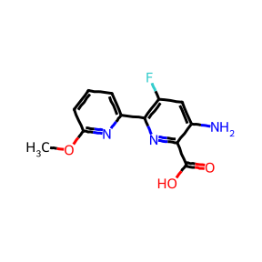 COc1cccc(-c2nc(C(=O)O)c(N)cc2F)n1